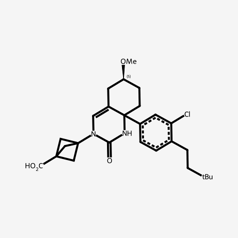 CO[C@H]1CCC2(c3ccc(CCC(C)(C)C)c(Cl)c3)NC(=O)N(C34CC(C(=O)O)(C3)C4)C=C2C1